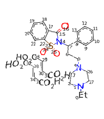 CCN1CCN(CCC(c2ccccc2)N2C(=O)c3ccccc3S2(=O)=O)CC1.O=C(O)C=CC(=O)O.O=C(O)C=CC(=O)O